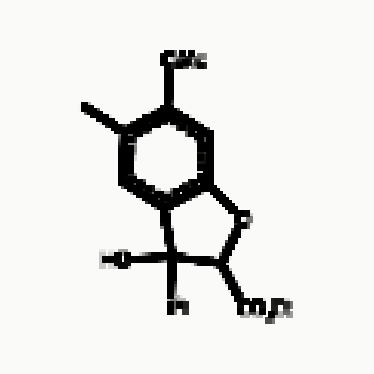 CCOC(=O)C1Oc2cc(OC)c(C)cc2C1(O)C(C)C